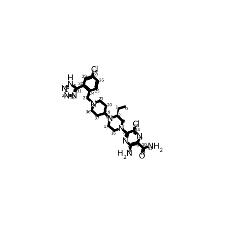 CC[C@H]1CN(c2nc(N)c(C(N)=O)nc2Cl)CCN1C1CCN(Cc2ccc(Cl)cc2-c2nnn[nH]2)CC1